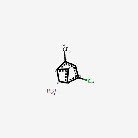 FC(F)(F)c1cc(Cl)c2cc1C2.O